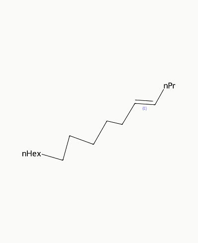 CCC/C=C/CCCCCCCCCCC